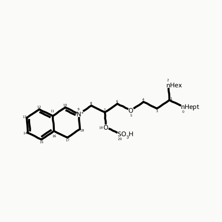 CCCCCCCC(CCCCCC)CCOCC(C[N+]1=Cc2ccccc2CC1)OS(=O)(=O)O